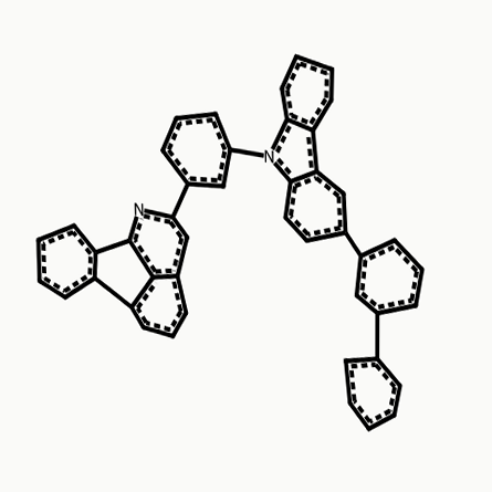 c1ccc(-c2cccc(-c3ccc4c(c3)c3ccccc3n4-c3cccc(-c4cc5cccc6c5c(n4)-c4ccccc4-6)c3)c2)cc1